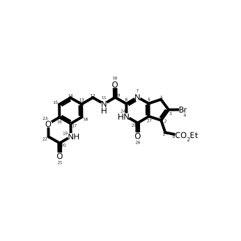 CCOC(=O)CC1=C(Br)Cc2nc(C(=O)NCc3ccc4c(c3)NC(=O)CO4)[nH]c(=O)c21